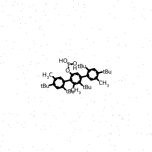 Cc1cc(-c2cc(OP(O)O)c(-c3cc(C)c(C(C)(C)C)cc3C(C)(C)C)c(C)c2C(C)(C)C)c(C(C)(C)C)cc1C(C)(C)C